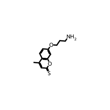 Cc1cc(=S)oc2cc(OCCCN)ccc12